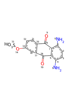 Nc1ccc(N)c2c1C(=O)c1ccc(OS(=O)(=O)O)cc1C2=O